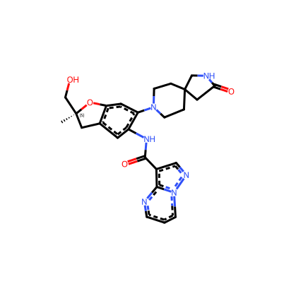 C[C@@]1(CO)Cc2cc(NC(=O)c3cnn4cccnc34)c(N3CCC4(CC3)CNC(=O)C4)cc2O1